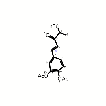 CCCCC(C)C(=O)/C=C/c1ccc(OC(C)=O)c(OC(C)=O)c1